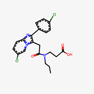 CCCN(CCC(=O)O)C(=O)Cc1c(-c2ccc(Cl)cc2)nc2ccc(Cl)cn12